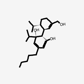 CCCCCC1=C[C@@](O)(C(C)C)[C@H]([C@@H]2C=C(CO)CC[C@H]2C(C)C)C(O)=C1